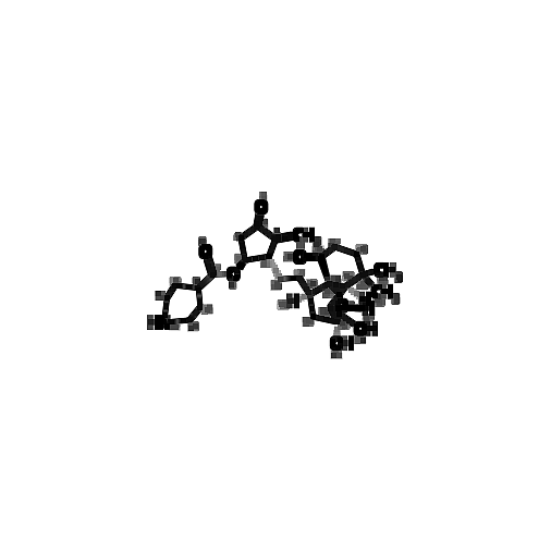 C=C1C(=O)C[C@H](OC(=O)C2CCNCC2)[C@H]1CC[C@@H]1C[C@]2(O)OC[C@]13C(=O)CCC(C)(C)[C@H]3[C@@H]2O